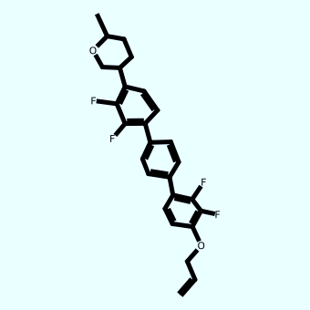 C=CCOc1ccc(-c2ccc(-c3ccc(C4CCC(C)OC4)c(F)c3F)cc2)c(F)c1F